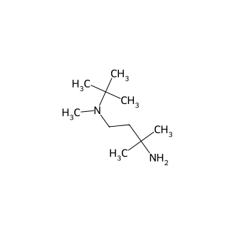 CN(CCC(C)(C)N)C(C)(C)C